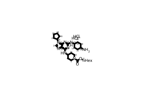 CCCCCCOC(=O)N1CCC(Nc2nc(NC3CCC(N)CC3)nc3c2ncn3C2CCCC2)CC1.Cl.Cl